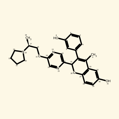 CC1=C(c2cccc(O)c2)C(c2cnc(OC[C@H](C)N3CCCC3)cn2)Oc2ccc(O)cc21